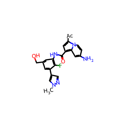 CC(=O)c1cc(C(=O)Nc2cc(CO)cc(-c3cnn(C)c3)c2F)c2cc(N)ccn12